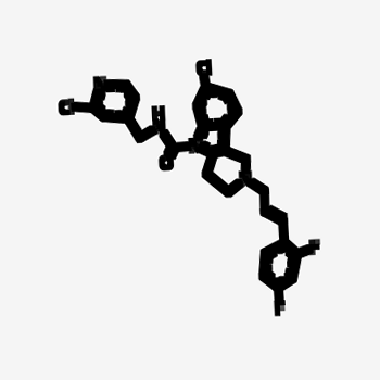 O=C(NCc1ccnc(Cl)c1)n1c2c(c3ccc(Cl)cc31)CN(CC=Cc1ccc(F)cc1F)CC2